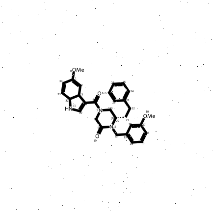 COC1=CC2C(C(=O)N3CC(=O)N(Cc4cccc(OC)c4)[C@@H](CCc4ccccc4)C3)=CNC2C=C1